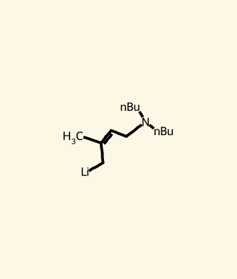 [Li][CH2]C(C)=CCN(CCCC)CCCC